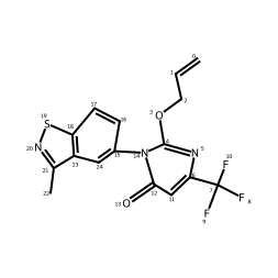 C=CCOc1nc(C(F)(F)F)cc(=O)n1-c1ccc2snc(C)c2c1